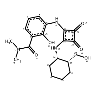 CN(C)C(=O)c1cccc(Nc2c(N[C@H]3CCCC[C@H]3CO)c(=O)c2=O)c1O